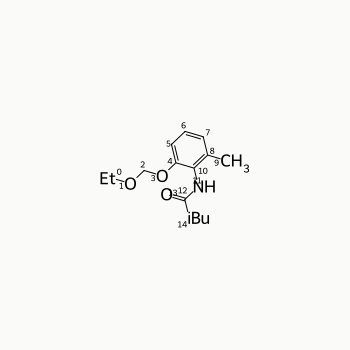 CCOCOc1cccc(C)c1NC(=O)C(C)CC